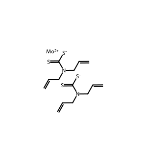 C=CCN(CC=C)C(=S)[S-].C=CCN(CC=C)C(=S)[S-].[Mo+2]